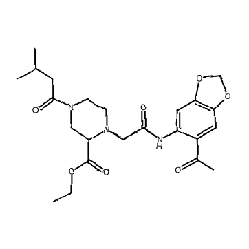 CCOC(=O)C1CN(C(=O)CC(C)C)CCN1CC(=O)Nc1cc2c(cc1C(C)=O)OCO2